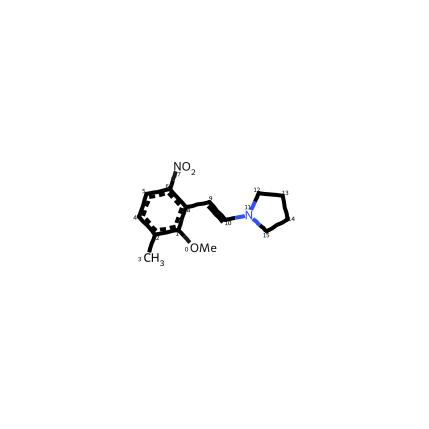 COc1c(C)ccc([N+](=O)[O-])c1C=CN1CCCC1